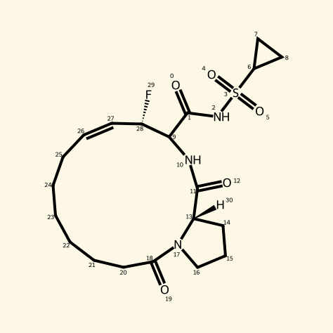 O=C(NS(=O)(=O)C1CC1)C1NC(=O)[C@@H]2CCCN2C(=O)CCCCCC/C=C\[C@@H]1F